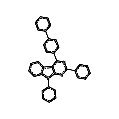 c1ccc(-c2ccc(-c3nc(-c4ccccc4)nc4c3c3ccccc3n4-c3ccccc3)cc2)cc1